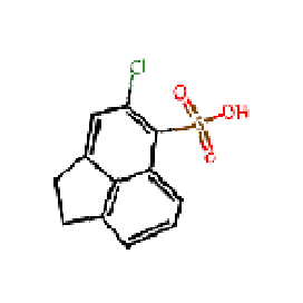 O=S(=O)(O)c1c(Cl)cc2c3c(cccc13)CC2